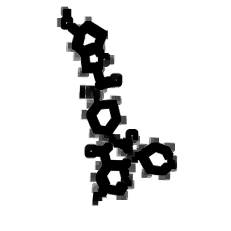 COc1ccc2oc(C(=O)N[C@H]3CC[C@@H](n4c(=O)c5cc(F)cnc5n(C5CCSCC5)c4=O)CC3)cc2c1